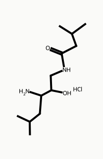 CC(C)CC(=O)NCC(O)C(N)CC(C)C.Cl